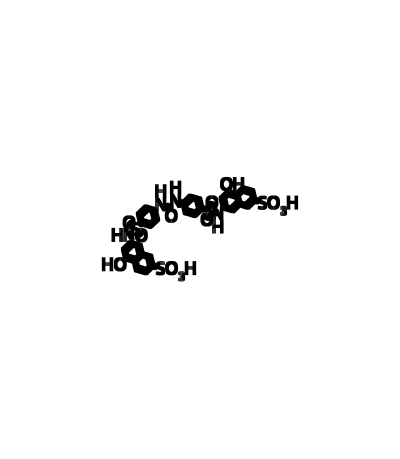 O=C(Nc1ccc(S(=O)(=O)Nc2cc(O)c3ccc(S(=O)(=O)O)cc3c2)cc1)Nc1ccc(S(=O)(=O)Nc2cc(O)c3ccc(S(=O)(=O)O)cc3c2)cc1